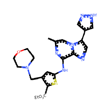 CCOC(=O)c1sc(Nc2nc(C)cn3c(-c4cn[nH]c4)cnc23)cc1CN1CCOCC1